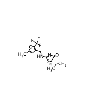 Cc1cc(CNC2=NC(=O)[C@H](C(C)C)S2)c(C(F)(F)F)o1